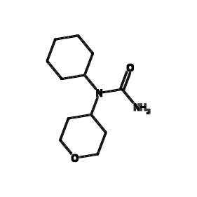 NC(=O)N(C1CCCCC1)C1CCOCC1